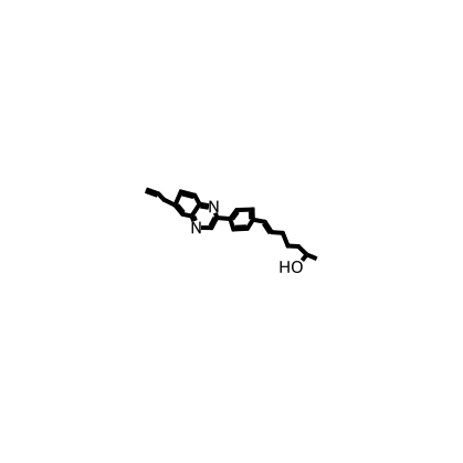 C=CCc1ccc2nc(-c3ccc(C=CCCCC(C)O)cc3)cnc2c1